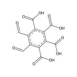 O=Cc1c(C=O)c(C(=O)O)c(C(=O)O)c(C(=O)O)c1C(=O)O